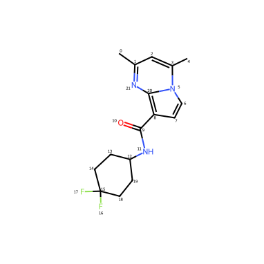 Cc1cc(C)n2ccc(C(=O)NC3CCC(F)(F)CC3)c2n1